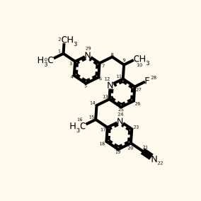 CC(C)c1cccc(CC(C)c2nc(CC(C)c3ccc(C#N)cn3)ccc2F)n1